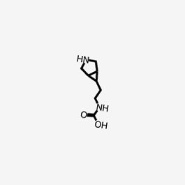 O=C(O)NCCC1C2CNCC12